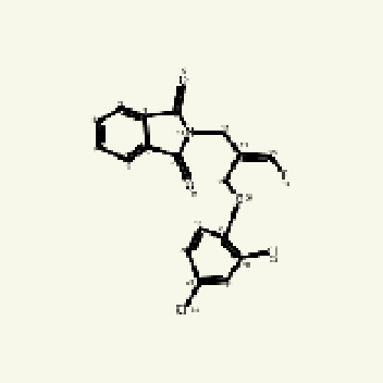 O=C1c2ccccc2C(=O)N1C/C(=C/F)COc1ccc(Cl)cc1Cl